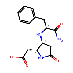 NC(=O)[C@H](Cc1ccccc1)N[C@H]1CC(=O)N[C@@H]1CC(=O)O